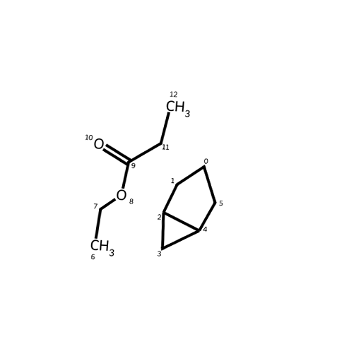 C1CC2CC2C1.CCOC(=O)CC